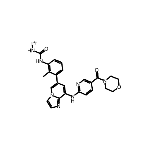 Cc1c(NC(=O)NC(C)C)cccc1-c1cc(Nc2ccc(C(=O)N3CCOCC3)cn2)c2nccn2c1